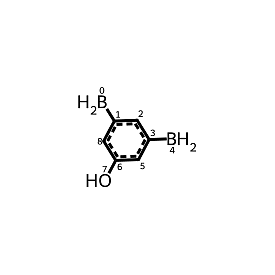 Bc1cc(B)cc(O)c1